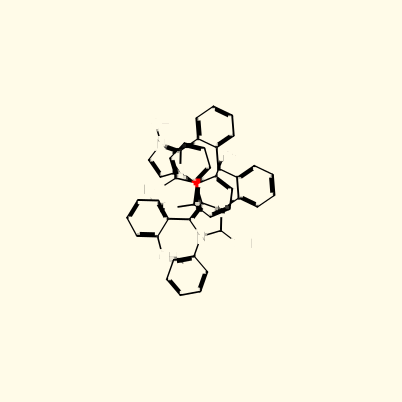 Cc1ccccc1C1=C(c2ccccc2C)N(c2ccccc2Cc2ccccc2-c2n(-c3c(C(C)C)cccc3C(C)C)cc[n+]2C)C(C)N1c1ccccc1